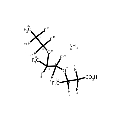 N.O=C(O)C(F)(F)C(F)(OC(F)(F)C(F)(OC(F)(F)C(F)(F)C(F)(F)F)C(F)(F)F)C(F)(F)F